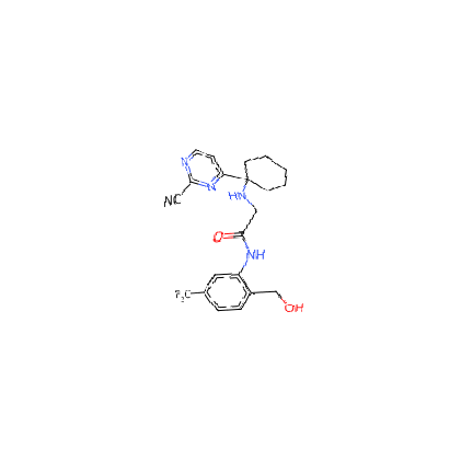 N#Cc1nccc(C2(NCC(=O)Nc3cc(C(F)(F)F)ccc3CO)CCCCC2)n1